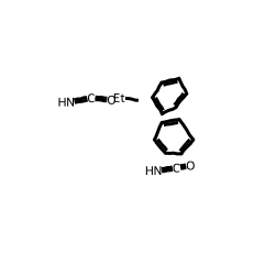 CCC.N=C=O.N=C=O.c1ccccc1.c1ccccc1